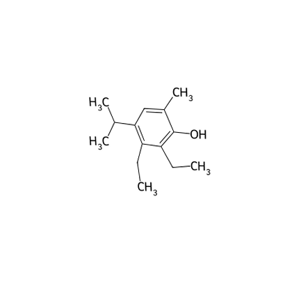 CCc1c(C(C)C)cc(C)c(O)c1CC